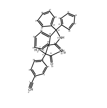 C#Cc1ccc(C(N)(CC(=O)NC(c2ccccc2)(c2ccccc2)c2ccccc2)C(N)=O)cc1